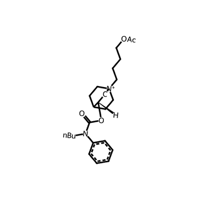 CCCCN(C(=O)O[C@H]1C[N+]2(CCCCOC(C)=O)CCC1CC2)c1ccccc1